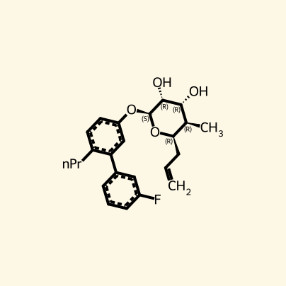 C=CC[C@H]1O[C@@H](Oc2ccc(CCC)c(-c3cccc(F)c3)c2)[C@H](O)[C@H](O)[C@H]1C